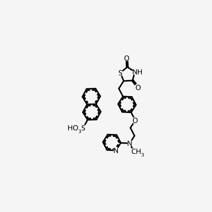 CN(CCOc1ccc(CC2SC(=O)NC2=O)cc1)c1ccccn1.O=S(=O)(O)c1ccc2ccccc2c1